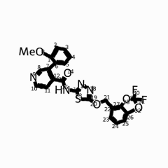 COc1ccccc1-c1cnccc1C(=O)Nc1nnc(OCc2cccc3c2OC(F)(F)O3)s1